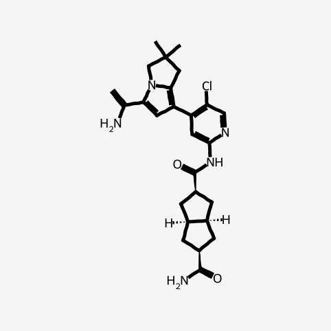 C=C(N)c1cc(-c2cc(NC(=O)[C@H]3C[C@H]4C[C@@H](C(N)=O)C[C@H]4C3)ncc2Cl)c2n1CC(C)(C)C2